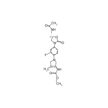 CCOC(=O)N[C@@H]1CN(c2ccc(N3C[C@H](CNC(C)=O)OC3=O)cc2F)C[C@@H]1C